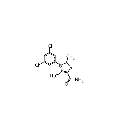 CC1=C(C(N)=O)SC(C)N1c1cc(Cl)cc(Cl)c1